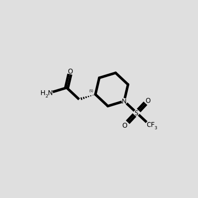 NC(=O)C[C@@H]1CCCN(S(=O)(=O)C(F)(F)F)C1